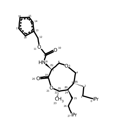 CC(C)CC[C@H]1COC[C@H](NC(=O)OCc2ccccc2)C(=O)O[C@@H](C)[C@@H]1CCC(C)C